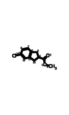 COC(=O)C1Cc2ccc(Cl)cc2C1